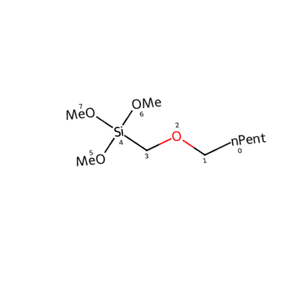 CCCCCCOC[Si](OC)(OC)OC